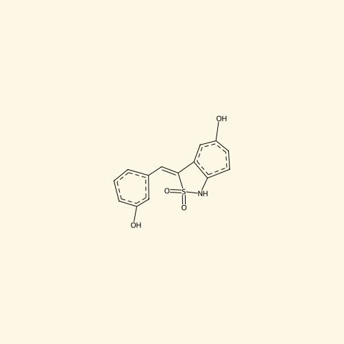 O=S1(=O)Nc2ccc(O)cc2C1=Cc1cccc(O)c1